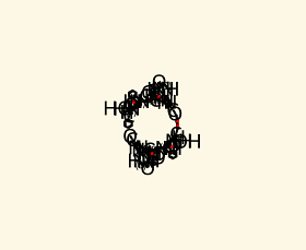 CN[C@@H](C)C(=O)N[C@H](C(=O)N1C[C@@H]2C[C@H]1C(=O)N[C@@H](Cc1ccccc1)C(=O)N[C@H](C(=O)O)Cc1ccc(cc1)OCc1cn(nn1)[C@H]1C[C@@H](C(=O)N[C@@H](Cc3ccccc3)C(=O)N[C@H](C(=O)O)Cc3ccc(cc3)OCc3cn2nn3)N(C(=O)[C@@H](NC(=O)[C@H](C)NC)C(C)C)C1)C(C)C